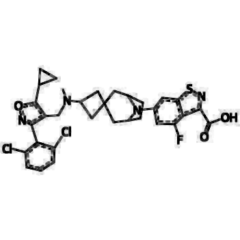 CN(Cc1c(-c2c(Cl)cccc2Cl)noc1C1CC1)C1CC2(C1)CC1CCC(C2)N1c1cc(F)c2c(C(=O)O)nsc2c1